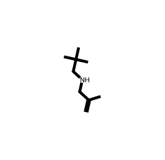 C=C(C)CNCC(C)(C)C